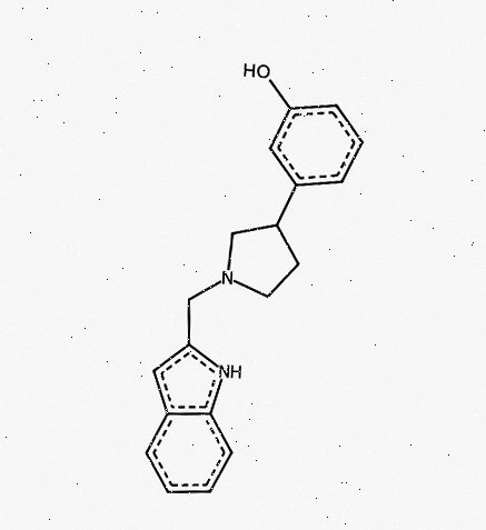 Oc1cccc(C2CCN(Cc3cc4ccccc4[nH]3)C2)c1